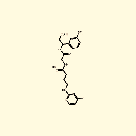 Cc1ccnc(NCCCC(=O)NCC(=O)NC(CC(=O)O)c2cccc([N+](=O)[O-])c2)c1.[Na]